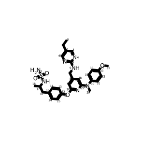 CCc1cnc(NCc2cc(Oc3ccc(CC(C)NS(N)(=O)=O)cc3)nc(N(C)c3ccc(OC)cc3)c2)nc1